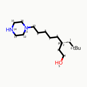 CC(C)(C)C[C@H](CCO)CCCCCN1CCNCC1